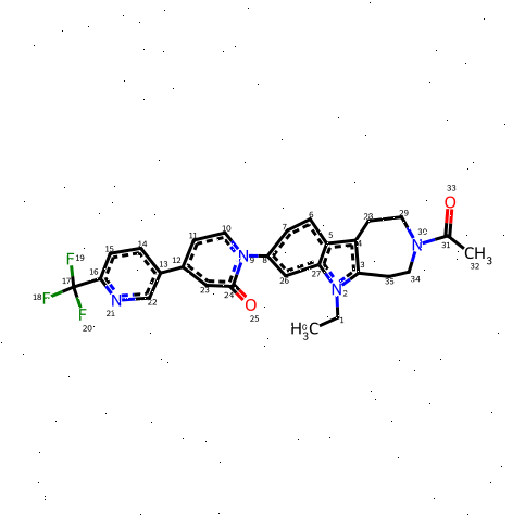 CCn1c2c(c3ccc(-n4ccc(-c5ccc(C(F)(F)F)nc5)cc4=O)cc31)CCN(C(C)=O)CC2